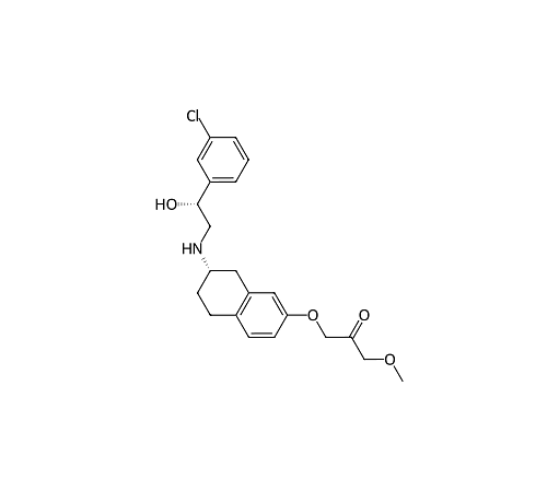 COCC(=O)COc1ccc2c(c1)C[C@@H](NC[C@H](O)c1cccc(Cl)c1)CC2